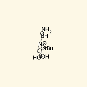 CC(C)(C)OC(=O)N(CCCBOCN)Cc1ccc(B(O)O)cc1